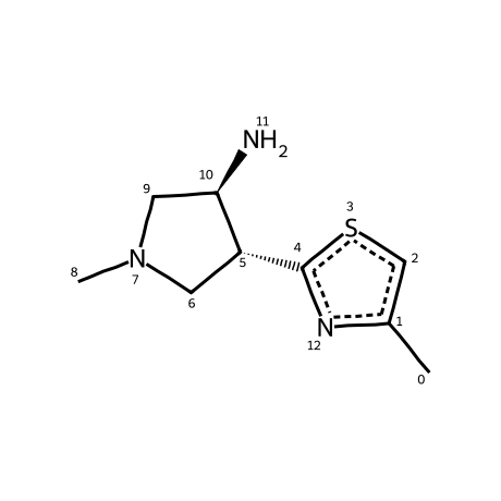 Cc1csc([C@@H]2CN(C)C[C@H]2N)n1